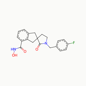 O=C(NO)c1cccc2c1CC1(CCN(Cc3ccc(F)cc3)C1=O)C2